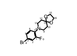 Fc1cc(Br)ccc1N1CCC2(CC1)OCCO2